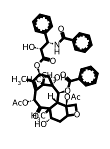 CC(=O)O[C@H]1C(=O)C2(C)[C@@H](O)CC3OC[C@@]3(OC(C)=O)[C@H]2[C@H](OC(=O)c2ccccc2)[C@]2(O)C[C@H](OC(=O)[C@H](O)[C@@H](NC(=O)c3ccccc3)c3ccccc3)C(C)=C1C2(C)C